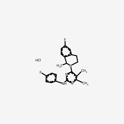 Cc1nc(Nc2ccc(F)cc2)nc(N2CCc3cc(F)ccc3C2C)c1C.Cl